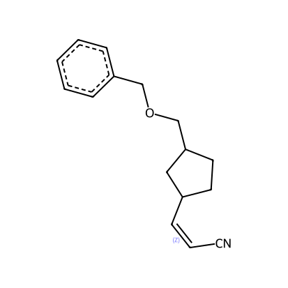 N#C/C=C\C1CCC(COCc2ccccc2)C1